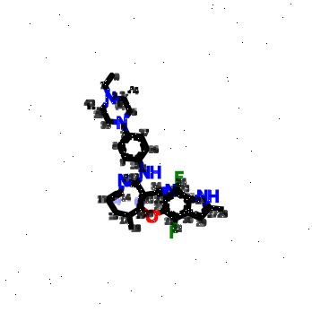 CCN1[C@H](C)CN(c2ccc(NC3=N/C=C/CC(C)/C(Oc4cc(F)c5[nH]c(C)cc5c4F)=C\3C#N)cc2)C[C@@H]1C